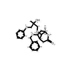 CC(O)(COc1ccccc1)COC1C2CC(=O)O[C@@H]1CC2OCc1ccccc1